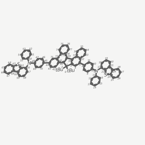 CC(C)(C)C1(C(C)(C)C)c2cc(-c3ccc(N(c4ccccc4)c4cccc5c4sc4ccccc45)cc3)c3ccccc3c2-c2c1c1ccc(-c3ccc(N(c4ccccc4)c4cccc5c4sc4ccccc45)cc3)cc1c1ccccc21